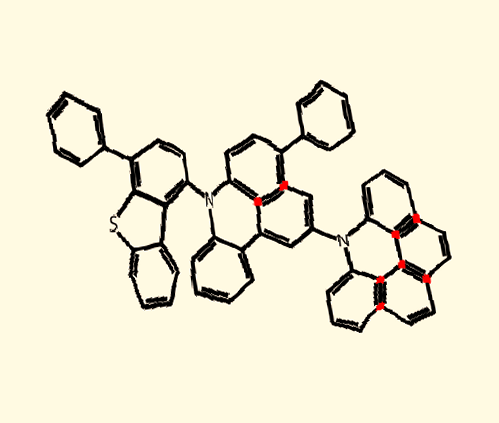 c1ccc(-c2ccc(N(c3ccccc3-c3cccc(N(c4ccccc4-c4ccccc4)c4ccccc4-c4ccccc4)c3)c3ccc(-c4ccccc4)c4sc5ccccc5c34)cc2)cc1